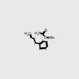 C=CCCc1ccccc1.CC(C)(C)OC(N)=O